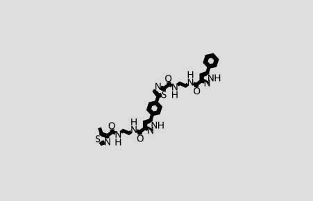 Cc1scnc1C(=O)NCCNC(=O)c1cc(-c2ccc(-c3cnc(C(=O)NCCNC(=O)c4cc(-c5ccccc5)[nH]n4)s3)cc2)[nH]n1